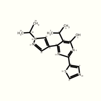 CC(C)c1c(O)nc(-c2cncs2)nc1-c1cnn(C(C)C)c1